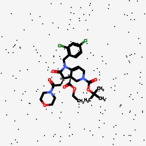 CCOC(=O)[C@@]12CN(C(=O)OC(C)(C)C)CC=C1N(Cc1ccc(Cl)cc1Cl)C(=O)[C@H]2CC(=O)N1CCOCC1